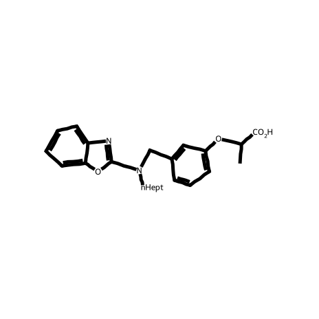 CCCCCCCN(Cc1cccc(OC(C)C(=O)O)c1)c1nc2ccccc2o1